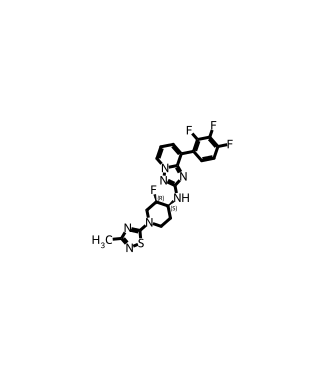 Cc1nsc(N2CC[C@H](Nc3nc4c(-c5ccc(F)c(F)c5F)cccn4n3)[C@H](F)C2)n1